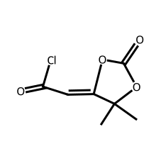 CC1(C)OC(=O)OC1=CC(=O)Cl